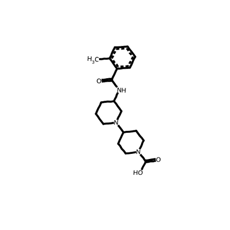 Cc1ccccc1C(=O)NC1CCCN(C2CCN(C(=O)O)CC2)C1